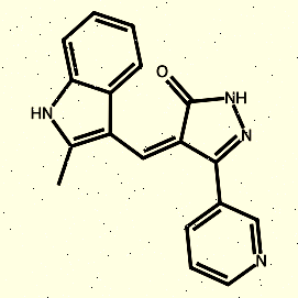 Cc1[nH]c2ccccc2c1C=C1C(=O)NN=C1c1cccnc1